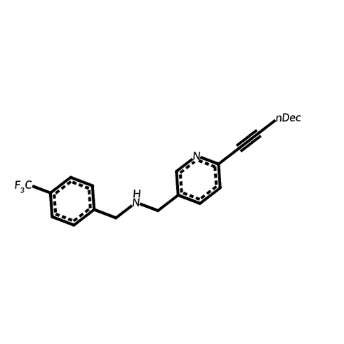 CCCCCCCCCCC#Cc1ccc(CNCc2ccc(C(F)(F)F)cc2)cn1